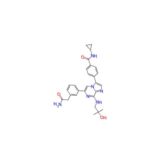 CC(C)(O)CNc1nc(-c2cccc(CC(N)=O)c2)cn2c(-c3ccc(C(=O)NC4CC4)cc3)cnc12